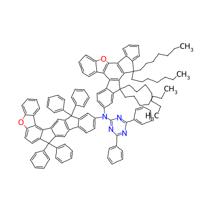 CCCCCCCC1(CCCCCCC)c2ccccc2-c2c1c1c(c3c2oc2ccccc23)-c2ccc(N(c3ccc4c(c3)C(c3ccccc3)(c3ccccc3)c3cc5c(cc3-4)C(c3ccccc3)(c3ccccc3)c3ccc4oc6ccccc6c4c3-5)c3nc(-c4ccccc4)nc(-c4ccccc4)n3)cc2C1(CCCCCCC)CCCCCCC